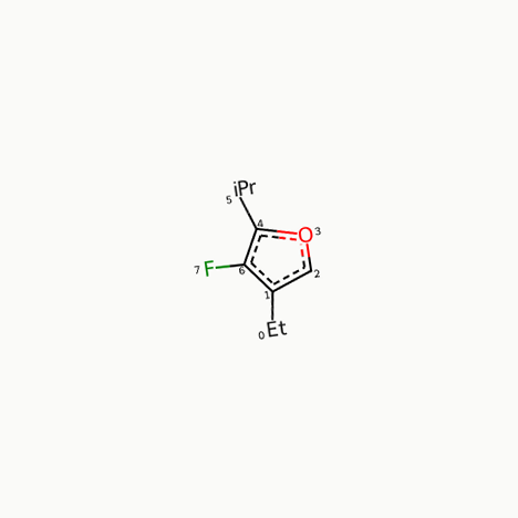 CCc1coc(C(C)C)c1F